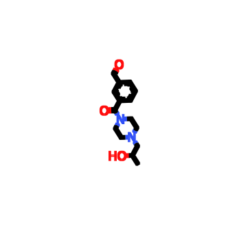 CC(O)CN1CCN(C(=O)c2cccc(C=O)c2)CC1